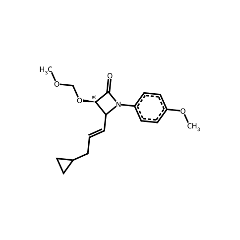 COCO[C@H]1C(=O)N(c2ccc(OC)cc2)C1C=CCC1CC1